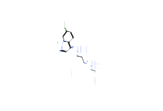 CC(C)NCCCNc1ccnc2cc(Cl)ccc12